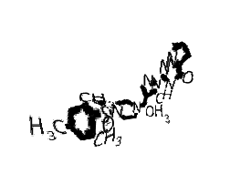 Cc1cc(C)c(S(=O)(=O)N2CCN(C(=O)c3cnn(-c4nn5cccc5c(=O)[nH]4)c3C)CC2)c(C)c1